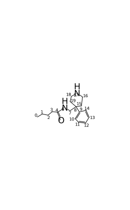 CCCCC(=O)NCC1(c2ccccc2)CCNCC1